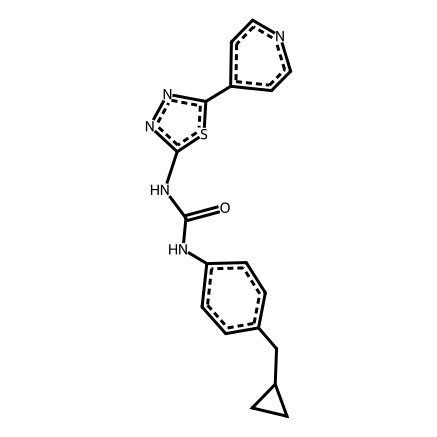 O=C(Nc1ccc(CC2CC2)cc1)Nc1nnc(-c2ccncc2)s1